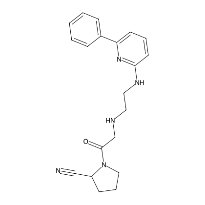 N#CC1CCCN1C(=O)CNCCNc1cccc(-c2ccccc2)n1